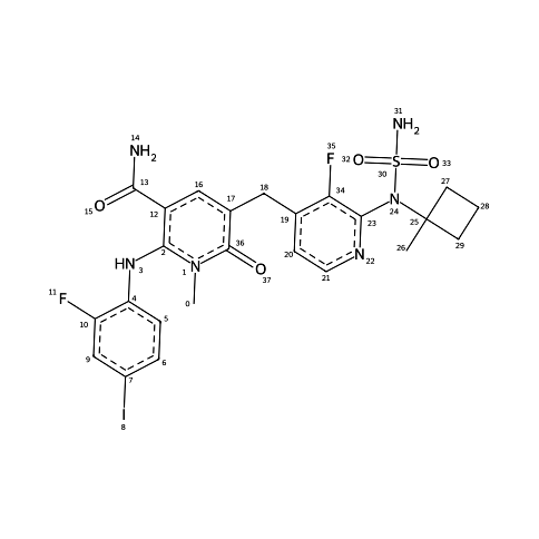 Cn1c(Nc2ccc(I)cc2F)c(C(N)=O)cc(Cc2ccnc(N(C3(C)CCC3)S(N)(=O)=O)c2F)c1=O